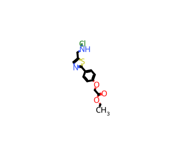 CCOC(=O)COc1ccc(-c2ncc(CNCl)s2)cc1